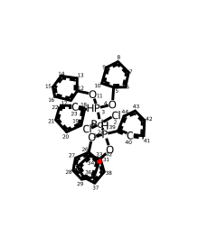 [Cl][Pd]([Cl])([PH](Oc1ccccc1)(Oc1ccccc1)c1ccccc1)[PH](Oc1ccccc1)(Oc1ccccc1)c1ccccc1